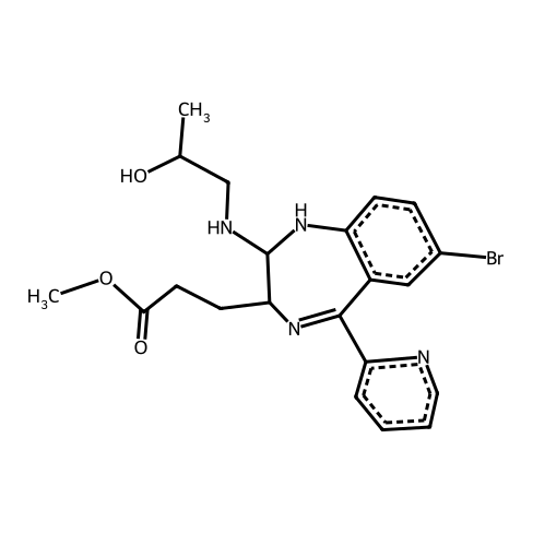 COC(=O)CCC1N=C(c2ccccn2)c2cc(Br)ccc2NC1NCC(C)O